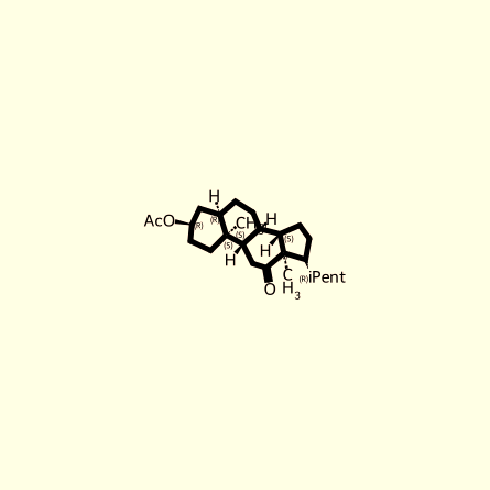 CCC[C@@H](C)C1CC[C@H]2[C@@H]3CC[C@@H]4C[C@H](OC(C)=O)CC[C@]4(C)[C@H]3CC(=O)[C@]12C